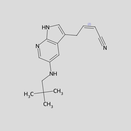 CC(C)(C)CNc1cnc2[nH]cc(C/C=C\C#N)c2c1